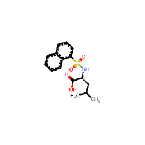 CC(C)C[C@H](NS(=O)(=O)c1cccc2ccccc12)C(=O)O